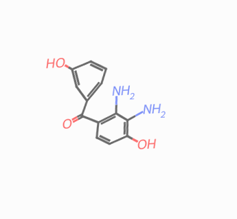 Nc1c(O)ccc(C(=O)c2cccc(O)c2)c1N